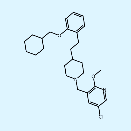 COc1ncc(Cl)cc1CN1CCC(CCc2ccccc2OCC2CCCCC2)CC1